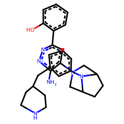 Nc1nnc(-c2ccccc2O)cc1N1CC2CCC(C1)N2c1cccc(CC2CCNCC2)c1